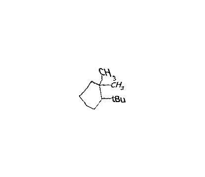 CC(C)(C)[C]1CCCCC1(C)C